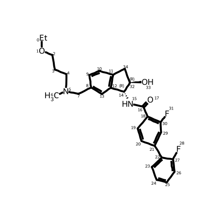 CCOCCCN(C)Cc1ccc2c(c1)[C@@H](NC(=O)c1ccc(-c3ccccc3F)cc1F)[C@H](O)C2